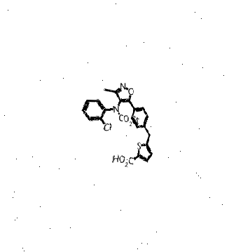 CCOC(=O)N(c1ccccc1Cl)c1c(C)noc1-c1ccc(Cc2ccc(C(=O)O)s2)cc1